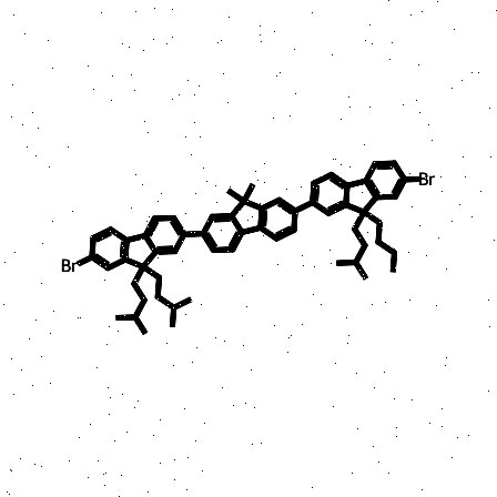 CCCCC1(CCC(C)C)c2cc(Br)ccc2-c2ccc(-c3ccc4c(c3)C(C)(C)c3cc(-c5ccc6c(c5)C(CCC(C)C)(CCC(C)C)c5cc(Br)ccc5-6)ccc3-4)cc21